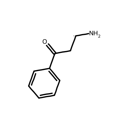 N[CH]CC(=O)c1ccccc1